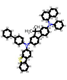 CC1(C)c2cc(N(c3ccc(-c4ccccc4)cc3)c3ccc4c(c3)sc3ccccc34)ccc2-c2ccc(N(c3ccccc3)c3cccc4ccccc34)cc21